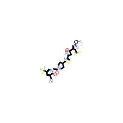 Cn1cc(C2CC(c3csc(C4CCN(C(=O)Cn5cc(C(F)(F)F)cc(C#N)c5=O)CC4)n3)=NO2)c(C(F)F)n1